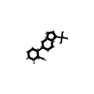 CC(C)(C)c1cnn2cc(-c3cccnc3F)ccc12